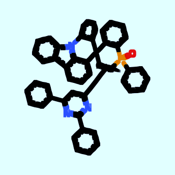 O=P1(c2ccccc2)c2ccccc2C2(c3ccccc3-n3c4ccccc4c4cccc2c43)c2cc(-c3cc(-c4ccccc4)nc(-c4ccccc4)n3)ccc21